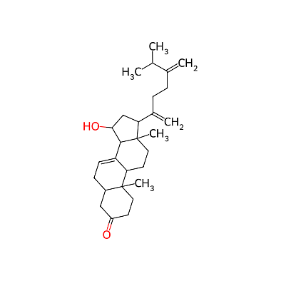 C=C(CCC(=C)C1CC(O)C2C3=CCC4CC(=O)CCC4(C)C3CCC12C)C(C)C